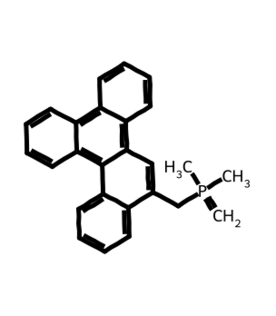 C=P(C)(C)Cc1cc2c3ccccc3c3ccccc3c2c2ccccc12